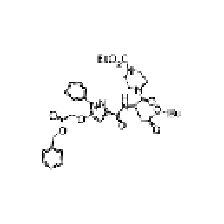 CCOC(=O)N1CCN(C(=O)C(CC(=O)OC(C)(C)C)NC(=O)c2cc(OCC(=O)OCc3ccccc3)n(-c3ccccc3)n2)CC1